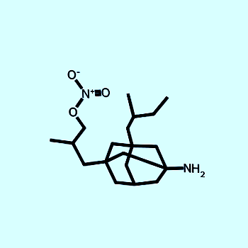 CCC(C)CC12CC3CC(N)(C1)CC(CC(C)CO[N+](=O)[O-])(C3)C2